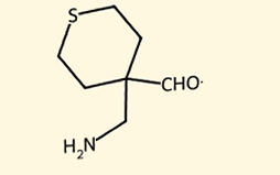 NCC1([C]=O)CCSCC1